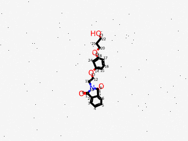 O=C1c2ccccc2C(=O)N1CCOc1cccc(OCCCO)c1